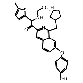 Cc1ccc(C(NCC(=O)O)C(=O)c2cc3ccc(Oc4ccc(C(C)(C)C)cc4)cc3c(CC3CCCC3)n2)s1